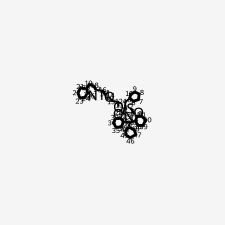 O=C1SC(Cc2ccccc2)(OCCON=Cc2ccc3ccccc3n2)C(=O)N1C(c1ccccc1)(c1ccccc1)c1ccccc1